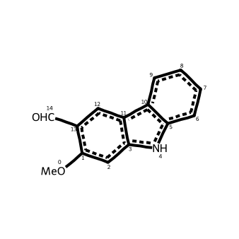 COc1cc2[nH]c3ccccc3c2cc1C=O